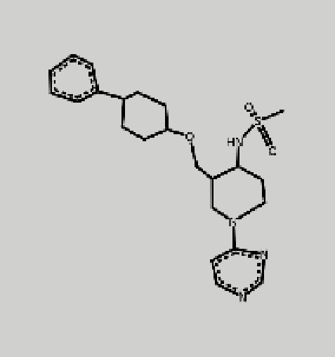 CS(=O)(=O)NC1CCN(c2ccncn2)CC1COC1CCC(c2ccccc2)CC1